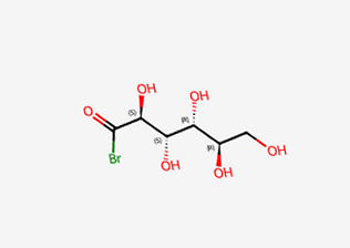 O=C(Br)[C@@H](O)[C@@H](O)[C@H](O)[C@H](O)CO